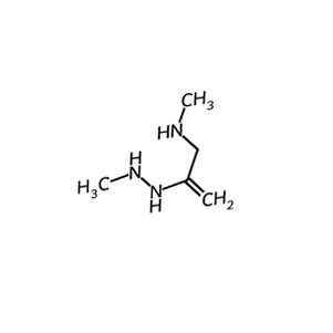 C=C(CNC)NNC